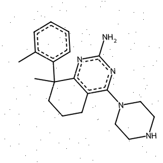 Cc1ccccc1C1(C)CCCc2c(N3CCNCC3)nc(N)nc21